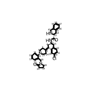 O=C(N[C@H](CC=C1CCN(c2ccccc2CN2CCCC2=O)CC1)Cc1ccc(Cl)cc1)[C@H]1Cc2ccccc2CN1